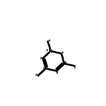 CC1=CN(C)CC(C)=C1